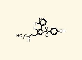 O=C(O)NCCc1cn(S(=O)(=O)c2ccc(O)cc2)c(-c2cccnc2F)c1F